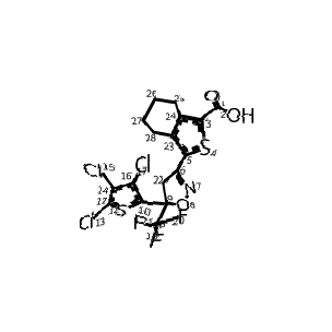 O=C(O)c1sc(C2=NOC(c3sc(Cl)c(Cl)c3Cl)(C(F)(F)F)C2)c2c1CCCC2